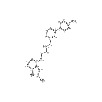 Cc1ccc(-c2cncc(CNCCOc3cccc4[nH]c(C)cc34)c2)cc1